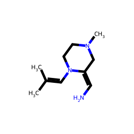 CC(C)=CN1CCN(C)C/C1=C/N